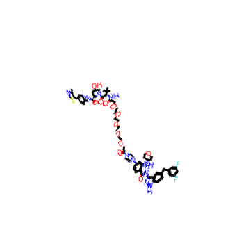 Cc1ncsc1-c1ccc(CNC(=O)[C@@H]2C[C@@H](O)CN2C(=O)[C@@H](NC(=O)COCCOCCOCCOCCOCC(=O)N2CCN(c3ccc(C(=O)Nc4n[nH]c5ccc(Cc6cc(F)cc(F)c6)cc45)c(NC4CCOCC4)c3)CC2)C(C)(C)C)cc1